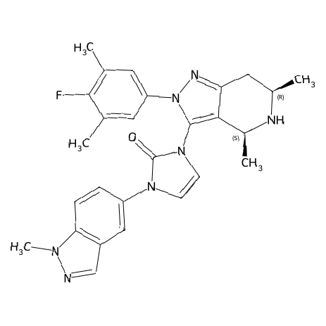 Cc1cc(-n2nc3c(c2-n2ccn(-c4ccc5c(cnn5C)c4)c2=O)[C@H](C)N[C@H](C)C3)cc(C)c1F